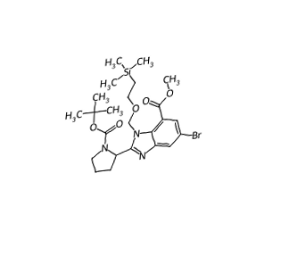 COC(=O)c1cc(Br)cc2nc(C3CCCN3C(=O)OC(C)(C)C)n(COCC[Si](C)(C)C)c12